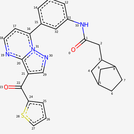 O=C(CC1CC2CCC1C2)Nc1cccc(-c2ccnc3c(C(=O)c4cccs4)cnn23)c1